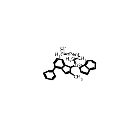 CCCCCC.C[SiH2][Zr+2]([CH]1C=Cc2ccccc21)[CH]1C(C)=Cc2c(-c3ccccc3)cccc21.[Cl-].[Cl-]